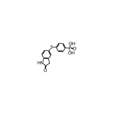 O=C1Cc2cc(Sc3ccc(P(=O)(O)O)cc3)ccc2N1